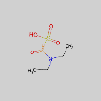 CCN(CC)[PH](=O)S(=O)(=O)O